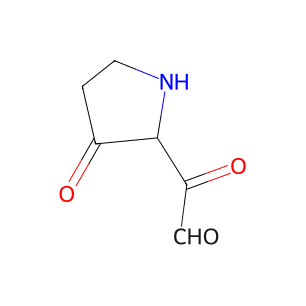 O=CC(=O)C1NCCC1=O